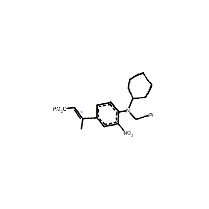 C/C(=C\C(=O)O)c1ccc(N(CC(C)C)C2CCCCC2)c([N+](=O)[O-])c1